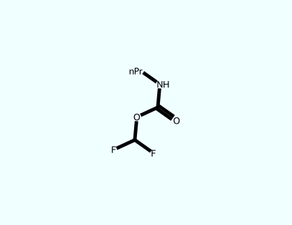 CCCNC(=O)OC(F)F